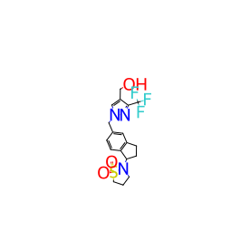 O=S1(=O)CCCN1C1CCc2cc(Cn3cc(CO)c(C(F)(F)F)n3)ccc21